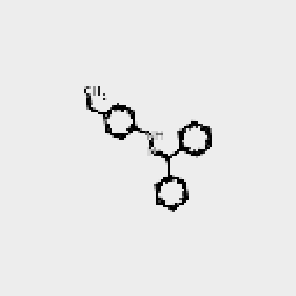 C=Cc1ccc(NN=C(c2ccccc2)c2ccccc2)cc1